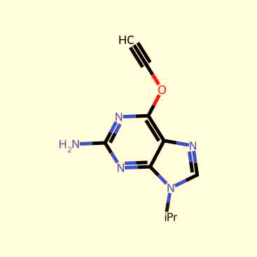 C#COc1nc(N)nc2c1ncn2C(C)C